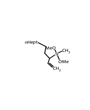 C=CC(CCCCCCCCC)[Si](C)(OC)OC